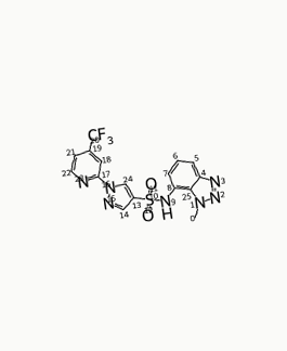 Cn1nnc2cccc(NS(=O)(=O)c3cnn(-c4cc(C(F)(F)F)ccn4)c3)c21